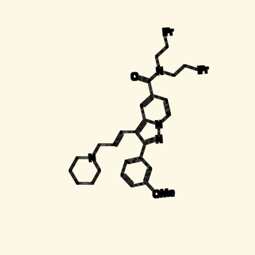 COc1cccc(-c2nn3ccc(C(=O)N(CCC(C)C)CCC(C)C)cc3c2/C=C/CN2CCCCC2)c1